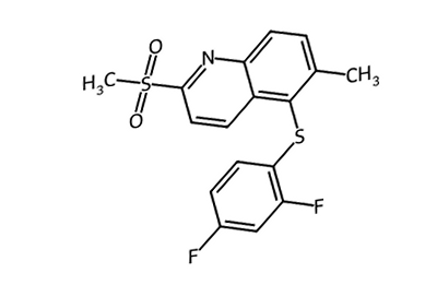 Cc1ccc2nc(S(C)(=O)=O)ccc2c1Sc1ccc(F)cc1F